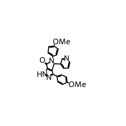 COc1ccc(-c2n[nH]c3c2C(c2cccnc2)N(c2ccc(OC)cc2)C3=O)cc1